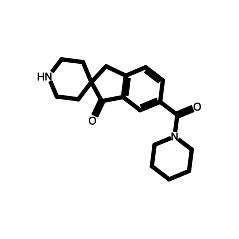 O=C(c1ccc2c(c1)C(=O)C1(CCNCC1)C2)N1CCCCC1